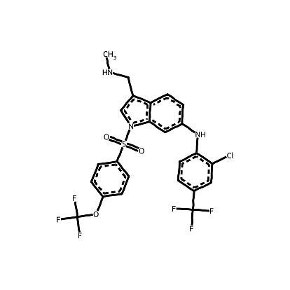 CNCc1cn(S(=O)(=O)c2ccc(OC(F)(F)F)cc2)c2cc(Nc3ccc(C(F)(F)F)cc3Cl)ccc12